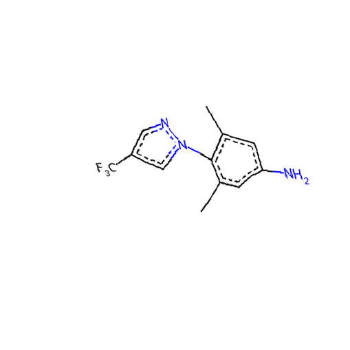 Cc1cc(N)cc(C)c1-n1cc(C(F)(F)F)cn1